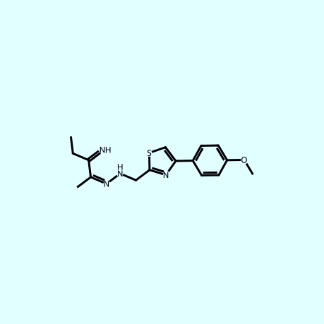 CCC(=N)/C(C)=N\NCc1nc(-c2ccc(OC)cc2)cs1